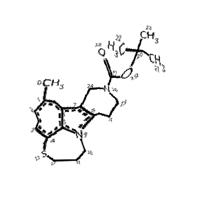 Cc1ccc2c3c1c1c(n3CCCS2)CCN(C(=O)OC(C)(C)C)C1